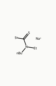 CCCCN(CC)C(=S)[S-].[Na+]